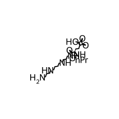 CCCC(=O)N[C@H](CCc1c(O)c(=O)c1=O)C(=O)NCCCNCCCCNCCCN